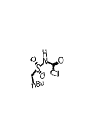 CCCCCS(=O)(=O)NC(=O)Cl